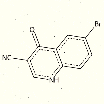 N#Cc1c[nH]c2ccc(Br)cc2c1=O